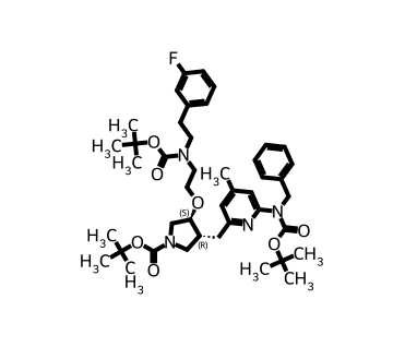 Cc1cc(C[C@@H]2CN(C(=O)OC(C)(C)C)C[C@H]2OCCN(CCc2cccc(F)c2)C(=O)OC(C)(C)C)nc(N(Cc2ccccc2)C(=O)OC(C)(C)C)c1